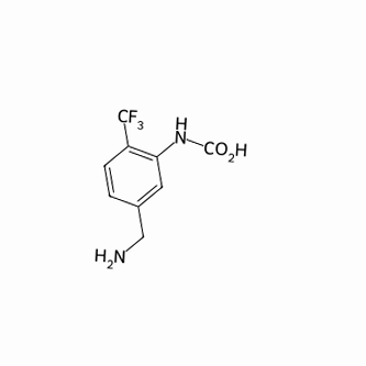 NCc1ccc(C(F)(F)F)c(NC(=O)O)c1